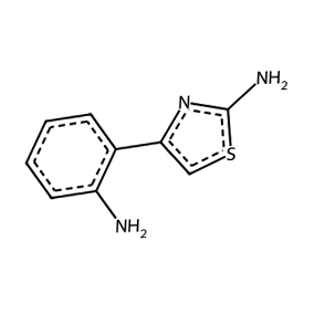 Nc1nc(-c2ccccc2N)cs1